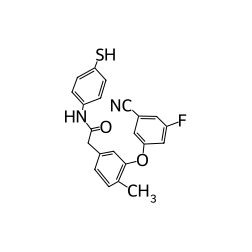 Cc1ccc(CC(=O)Nc2ccc(S)cc2)cc1Oc1cc(F)cc(C#N)c1